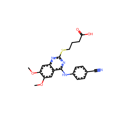 COc1cc2nc(SCCCC(=O)O)nc(Nc3ccc(C#N)cc3)c2cc1OC